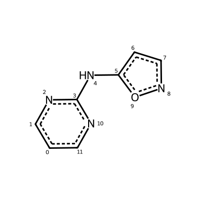 c1cnc(Nc2ccno2)nc1